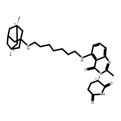 Cc1nc2cccc(NCCCCCCCNC34CC5C[C@@](C)(C3)C[C@](C)(C5)C4)c2c(=O)n1[C@H]1CCC(=O)NC1=O